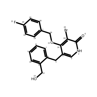 O=c1[nH]cc(Cc2ccccc2CO)c(OCc2ccc(F)cc2)c1Br